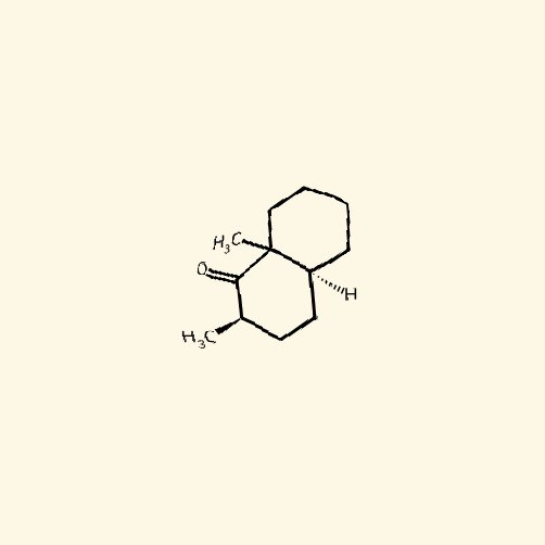 C[C@@H]1CC[C@@H]2CCCCC2(C)C1=O